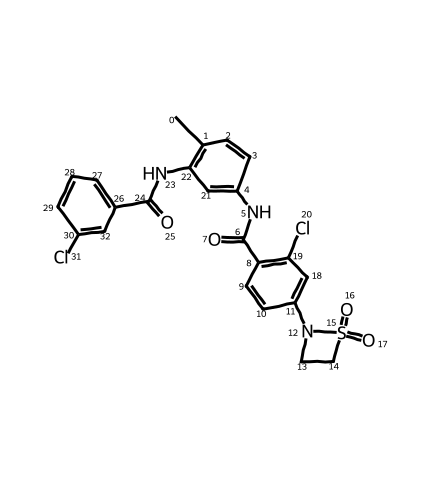 Cc1ccc(NC(=O)c2ccc(N3CCS3(=O)=O)cc2Cl)cc1NC(=O)c1cccc(Cl)c1